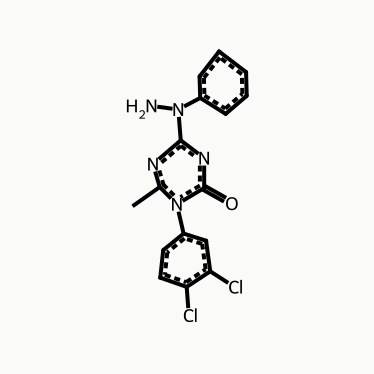 Cc1nc(N(N)c2ccccc2)nc(=O)n1-c1ccc(Cl)c(Cl)c1